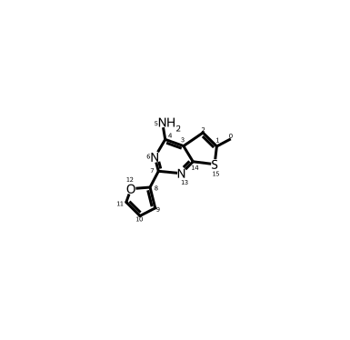 Cc1cc2c(N)nc(-c3ccco3)nc2s1